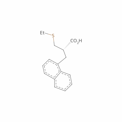 CCSC[C@@H](Cc1cccc2ccccc12)C(=O)O